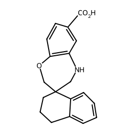 O=C(O)c1ccc2c(c1)NCC1(CCCc3ccccc31)CO2